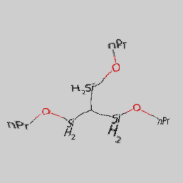 CCCO[SiH2]C([SiH2]OCCC)[SiH2]OCCC